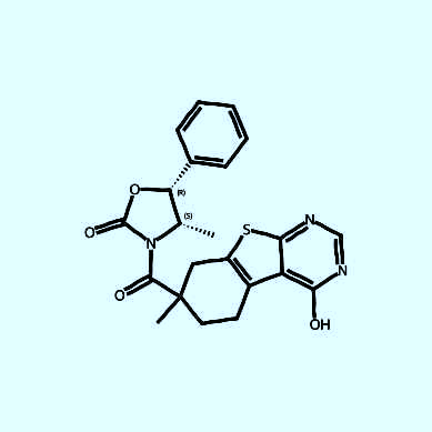 C[C@H]1[C@@H](c2ccccc2)OC(=O)N1C(=O)C1(C)CCc2c(sc3ncnc(O)c23)C1